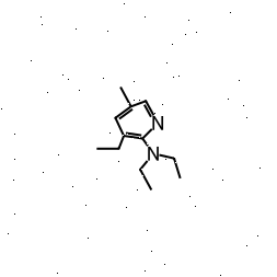 CCc1cc(C)cnc1N(CC)CC